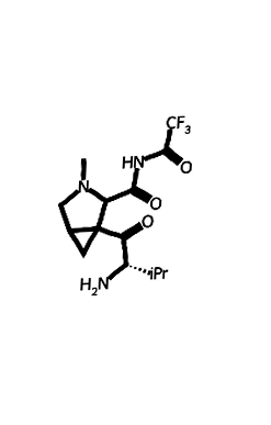 CC(C)[C@H](N)C(=O)C12CC1CN(C)C2C(=O)NC(=O)C(F)(F)F